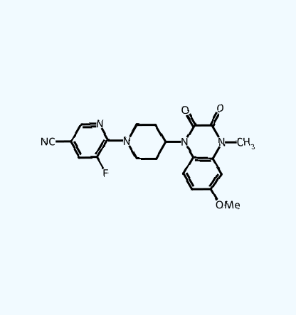 COc1ccc2c(c1)n(C)c(=O)c(=O)n2C1CCN(c2ncc(C#N)cc2F)CC1